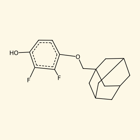 Oc1ccc(OCC23CC4CC(CC(C4)C2)C3)c(F)c1F